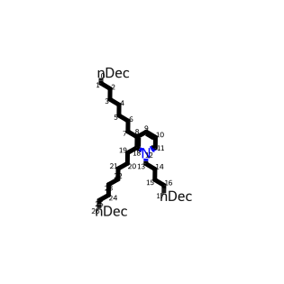 CCCCCCCCCCCCCCCCCc1ccc[n+](CCCCCCCCCCCCCC)c1CCCCCCCCCCCCCCCCC